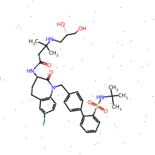 CC(C)(C)NS(=O)(=O)c1ccccc1-c1ccc(CN2C(=O)[C@H](NC(=O)CC(C)(C)NC[C@H](O)CO)CCc3cc(F)ccc32)cc1